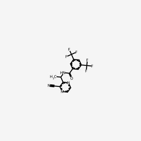 CC(NC(=O)c1cc(C(F)(F)F)cc(C(F)(F)F)c1)c1nccnc1C#N